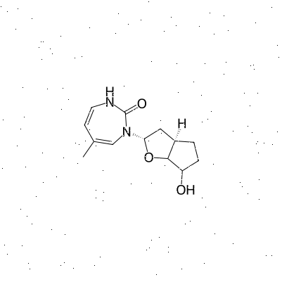 CC1=CN([C@@H]2C[C@H]3CCC(O)C3O2)C(=O)NC=C1